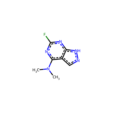 CN(C)c1nc(F)nc2[nH]ncc12